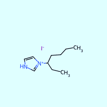 CCCCC(CC)[n+]1cc[nH]c1.[I-]